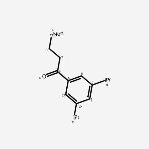 CCCCCCCCCCCC(=O)c1cc(C(C)C)[c]c(C(C)C)c1